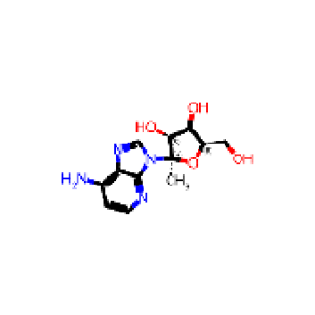 C[C@@]1(n2cnc3c(N)ccnc32)O[C@H](CO)C(O)[C@@H]1O